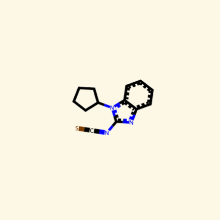 S=C=Nc1nc2ccccc2n1C1CCCC1